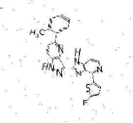 Cc1cc#ccc1-c1ccc2[nH]nc(-c3nc4c(-c5ccc(F)s5)nccc4[nH]3)c2n1